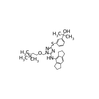 CC(C)(O)c1cccc(Sc2nc(Nc3c4c(cc5c3CCC5)CCC4)n(COCC[Si](C)(C)C)n2)c1